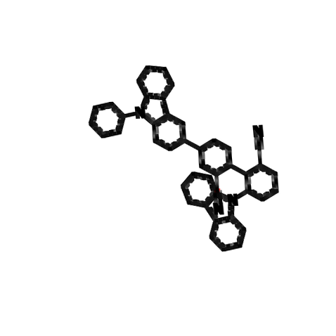 N#Cc1cc(-c2ccc3c(c2)c2ccccc2n3-c2ccccc2)ccc1-c1c(C#N)cccc1-n1c2ccccc2c2ccccc21